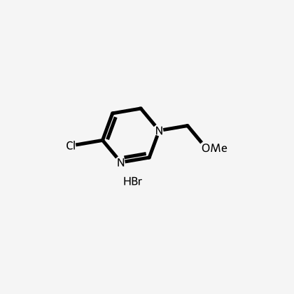 Br.COCN1C=NC(Cl)=CC1